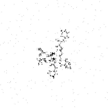 CC(C(Cc1ccc(C(=O)Nc2ccccc2)o1)c1ccc2c(c1)OCO2)N(C/C(Cl)=C/c1ccccc1)C(=O)C(O)=C(CC(=O)O)C(=O)OC(C)(C)C